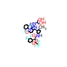 Cc1ccc(NC(=O)C(OC(=O)C(F)(F)F)c2cccc(F)c2F)cc1-c1nc(NC(CO)CO)nc2c1ccc(=O)n2-c1c(F)cccc1F